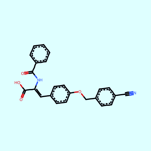 N#Cc1ccc(COc2ccc(C=C(NC(=O)c3ccccc3)C(=O)O)cc2)cc1